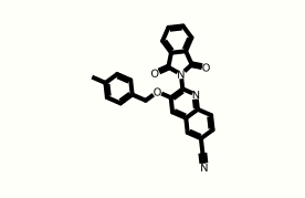 Cc1ccc(COc2cc3cc(C#N)ccc3nc2N2C(=O)c3ccccc3C2=O)cc1